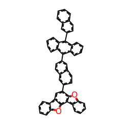 c1ccc2cc(-c3c4ccccc4c(-c4ccc5cc(-c6cc7c8ccccc8oc7c7c6oc6ccccc67)ccc5c4)c4ccccc34)ccc2c1